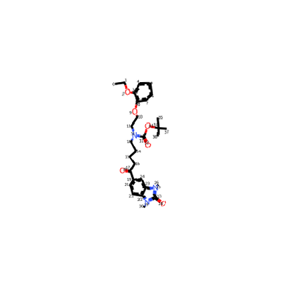 CCOc1ccccc1OCCN(CCCCC(=O)c1ccc2c(c1)n(C)c(=O)n2C)C(=O)OC(C)(C)C